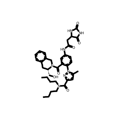 CCCCN(CCCC)C(=O)c1cc(C)n(-c2ccc(NC(=O)CC3NC(=O)NC3=O)cc2C(=O)N2Cc3ccccc3C[C@H]2CO)n1